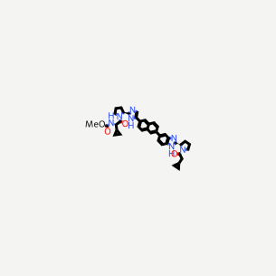 COC(=O)N[C@H](C(=O)N1CCC[C@H]1c1ncc(-c2ccc3cc(-c4ccc5[nH]c([C@@H]6CCCN6C(=O)CC6CC6)nc5c4)ccc3c2)[nH]1)C1CC1